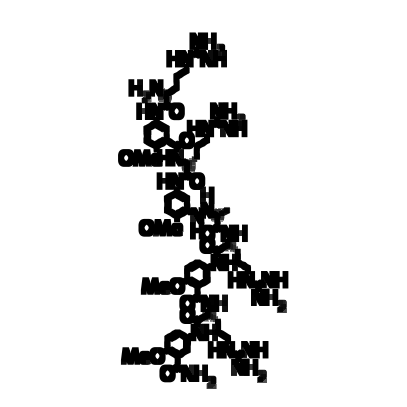 COc1ccc(NC(=O)[C@@H](CCCNC(=N)N)NC(=O)c2cc(NC(=O)[C@H](N)CCCNC(=N)N)ccc2OC)cc1NN[C@@H](C)C(=O)N[C@H](CCCNC(=N)N)C(=O)Nc1ccc(OC)c(C(=O)N[C@H](CCCNC(=N)N)C(=O)Nc2ccc(OC)c(C(N)=O)c2)c1